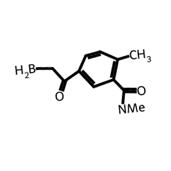 BCC(=O)c1ccc(C)c(C(=O)NC)c1